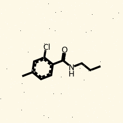 CCCNC(=O)c1ccc(C)cc1Cl